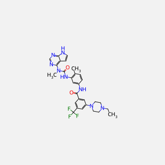 CCN1CCN(c2cc(C(=O)Nc3ccc(C)c(NC(=O)N(C)c4ncnc5[nH]ccc45)c3)cc(C(F)(F)F)c2)CC1